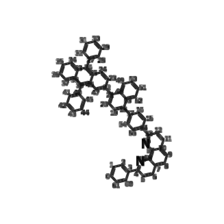 c1ccc(-c2ccc3ccc4ccc(-c5ccc(-c6ccc(-c7ccc8c(-c9ccccc9)c9ccccc9c(-c9ccccc9)c8c7)c7ccccc67)cc5)nc4c3n2)cc1